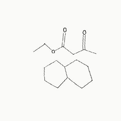 C1CCC2CCCCC2C1.CCOC(=O)CC(C)=O